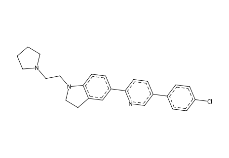 Clc1ccc(-c2ccc(-c3ccc4c(c3)CCN4CCN3CCCC3)nc2)cc1